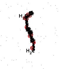 C=CC(=O)CCCCOc1ccc(/C=C/C(=O)Oc2ccc(-c3ccc(OCCCCCCOC(=O)C(=C)CC(=O)OC4CCCCC4)cc3)cc2)cc1